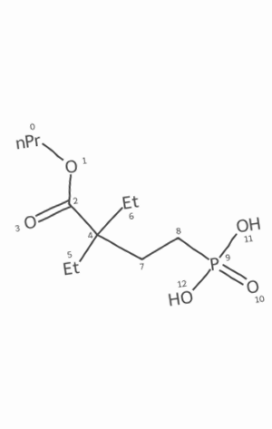 CCCOC(=O)C(CC)(CC)CCP(=O)(O)O